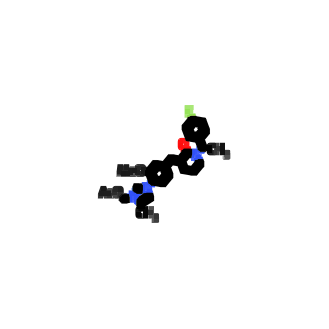 COc1cc(/C=C2\CCCN([C@@H](C)c3ccc(F)cc3)C2=O)ccc1-n1cc(C)[n+](COC(C)=O)c1